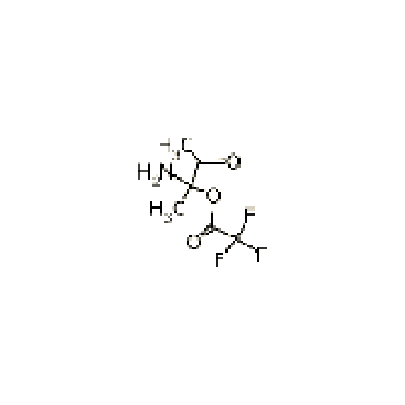 CC(=O)C(C)(N)OC(=O)C(F)(F)F